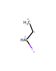 C[CH2][AlH][I]